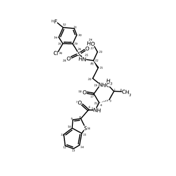 CC(C)C[C@H](NC(=O)c1cc2ccccc2s1)C(=O)NCC[C@H](CO)NS(=O)(=O)c1ccc(F)cc1Cl